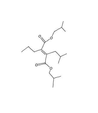 CCCC(C(=O)OCC(C)C)=C(CC(C)C)C(=O)OCC(C)C